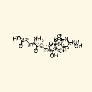 B[C@@]1(n2ccc(NO)nc2=O)O[C@H](COC(=O)[C@@H](N)CCC(=O)O)[C@@H](O)[C@H]1O